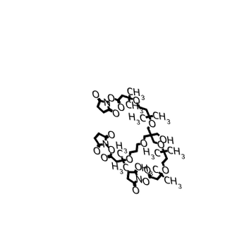 CC(C)(CCOC(C)(C)CC(=O)ON1C(=O)CCC1=O)OCC(CO)(COCCCOC(C)(C)CC(=O)ON1C(=O)CCC1=O)COC(C)(C)CCOC(C)(C)CC(=O)ON1C(=O)CCC1=O